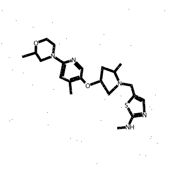 CNc1ncc(CN2CC(Oc3cnc(N4CCOC(C)C4)cc3C)CC2C)s1